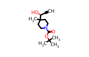 C#C[C@H](O)C1(C)CCN(C(=O)OC(C)(C)C)CC1